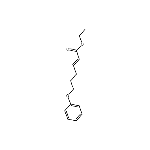 CCOC(=O)C=CCCCOc1ccccc1